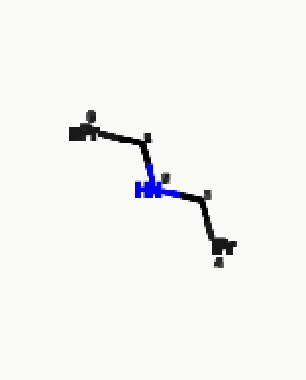 CCCCNCC(C)C